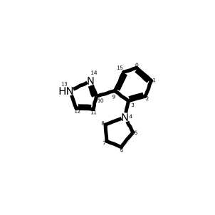 c1ccc(N2CCCC2)c(-c2cc[nH]n2)c1